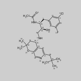 CC(=O)N[C@@H](Cc1cc(F)cc(Cl)c1)[C@@H](O)CN[C@H]1CC(C)(C)Oc2cnc(CC(C)(C)C)cc21